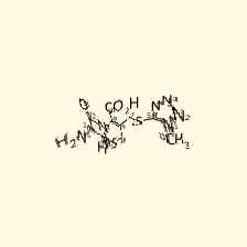 Cn1nnnc1SCC1=C(C(=O)O)N2C(=O)[C@@H](N)[C@H]2SC1